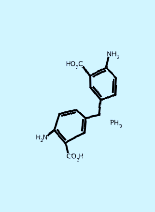 Nc1ccc(Cc2ccc(N)c(C(=O)O)c2)cc1C(=O)O.P